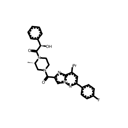 CC(C)c1cc(-c2ccc(F)cc2)nn2cc(C(=O)N3CCN(C(=O)[C@H](O)c4ccccc4)[C@@H](C)C3)nc12